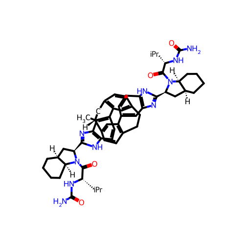 CC(C)[C@H](NC(N)=O)C(=O)N1[C@H](c2nc3cc(-c4cc5ccc4CCc4ccc(c(-c6ccc7[nH]c([C@@H]8C[C@@H]9CCCC[C@@H]9N8C(=O)[C@@H](NC(N)=O)C(C)C)nc7c6)c4)C[C@H]5C)ccc3[nH]2)C[C@@H]2CCCC[C@@H]21